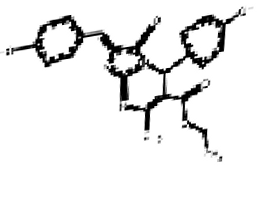 CCOC(=O)C1=C(C)N=c2s/c(=C\c3ccc(O)cc3)c(=O)n2C1c1ccc(O)cc1